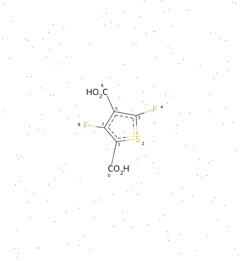 O=C(O)c1sc(F)c(C(=O)O)c1F